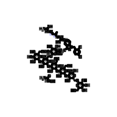 CC(/C=N/NC(=N)N)=N\NC(=N)N.NC(=O)NO.O=C(O)c1nn(Cc2ccc(Cl)cc2Cl)c2ccccc12.OC[C@H]1O[C@@H](OC[C@H]2O[C@@H](O)[C@H](O)[C@@H](O[C@@H]3O[C@H](CO)[C@@H](O)[C@H](O[C@@H]4O[C@H](CO)[C@@H](O)[C@H](O[C@@H]5O[C@H](CO[C@@H]6O[C@H](CO)[C@@H](O)[C@H](O)[C@H]6O)[C@@H](O)[C@H](O[C@@H]6O[C@H](CO)[C@@H](O)[C@H](O)[C@H]6O)[C@H]5O)[C@H]4O)[C@H]3O)[C@@H]2O)[C@H](O)[C@@H](O)[C@@H]1O